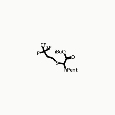 CCCCCC(SCCC(F)(F)C(F)(F)F)C(=O)OCC(C)C